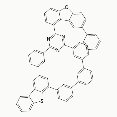 c1ccc(-c2ccc3oc4cccc(-c5nc(-c6ccccc6)nc(-c6cccc(-c7cccc(-c8cccc(-c9cccc%10c9sc9ccccc9%10)c8)c7)c6)n5)c4c3c2)cc1